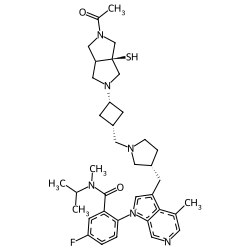 CC(=O)N1CC2CN([C@H]3C[C@@H](CN4CC[C@H](Cc5cn(-c6ccc(F)cc6C(=O)N(C)C(C)C)c6cncc(C)c56)C4)C3)C[C@@]2(S)C1